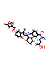 Cc1cc(COc2ccc3oc(C(Nc4ccc(C(=O)N(C)CCC(=O)O)cc4)C4CCCCC4)c(C)c3c2)no1